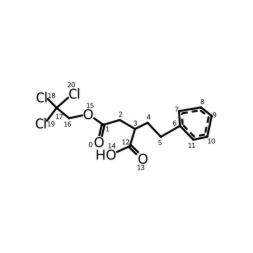 O=C(CC(CCc1ccccc1)C(=O)O)OCC(Cl)(Cl)Cl